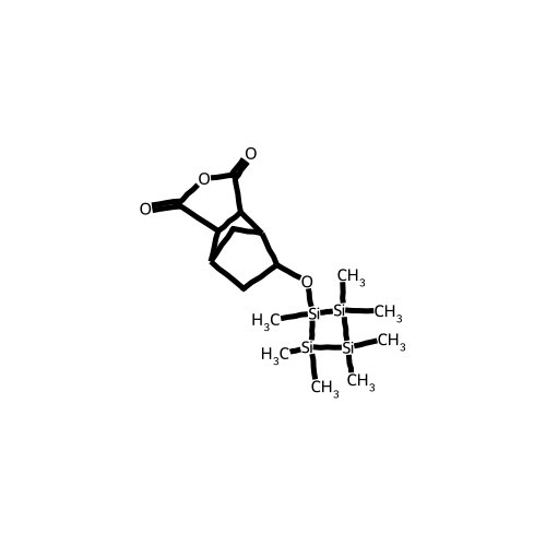 C[Si]1(C)[Si](C)(C)[Si](C)(OC2CC3CC2C2C(=O)OC(=O)C32)[Si]1(C)C